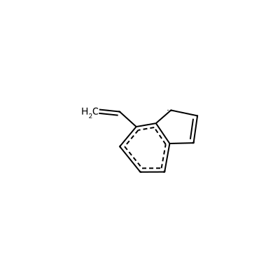 C=Cc1cccc2c1[CH]C=C2